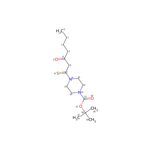 CCCCC(=O)CC(=S)N1CCN(C(=O)OC(C)(C)C)CC1